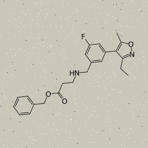 CCc1noc(C)c1-c1cc(F)cc(CNCCC(=O)OCc2ccccc2)c1